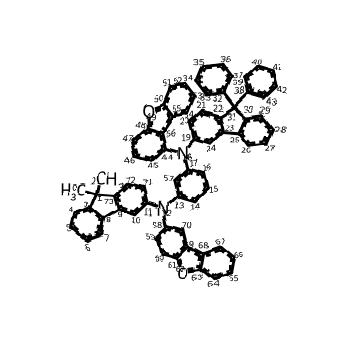 CC1(C)c2ccccc2-c2cc(N(c3cccc(N(c4ccc5c(c4)-c4ccccc4C5(c4ccccc4)c4ccccc4)c4cccc5oc6ccccc6c45)c3)c3ccc4oc5ccccc5c4c3)ccc21